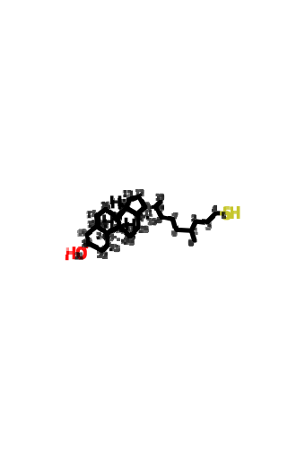 CC(CCCS)CCCC(C)[C@H]1CC[C@H]2[C@@H]3CC=C4C[C@@H](O)CC[C@]4(C)[C@H]3CC[C@]12C